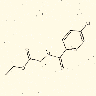 CCOC(=O)CNC(=O)c1ccc(Cl)cc1